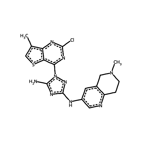 Cc1csc2c(-n3nc(Nc4cnc5c(c4)CN(C)CC5)nc3N)nc(Cl)nc12